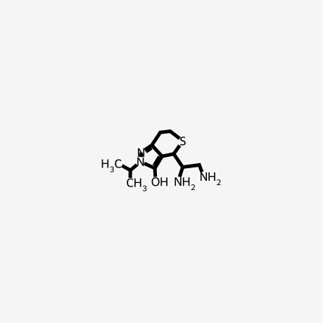 CC(C)n1nc2c(c1O)C(C(N)CN)SCC2